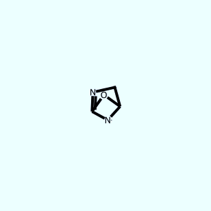 C1N=C2[N]C1O2